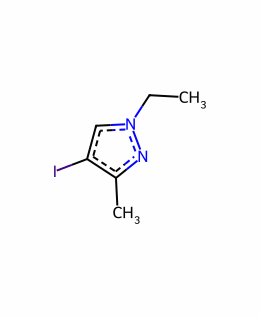 CCn1cc(I)c(C)n1